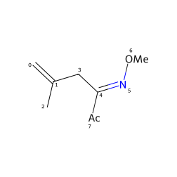 C=C(C)CC(=NOC)C(C)=O